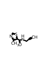 C#CCNC(=O)c1scnc1C